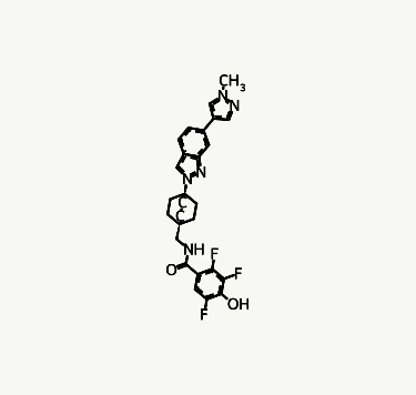 Cn1cc(-c2ccc3cn([C@]45CC[C@](CNC(=O)c6cc(F)c(O)c(F)c6F)(CC4)CC5)nc3c2)cn1